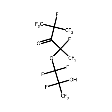 O=C(C(F)(OC(F)(F)C(O)(F)C(F)(F)F)C(F)(F)F)C(F)(C(F)(F)F)C(F)(F)F